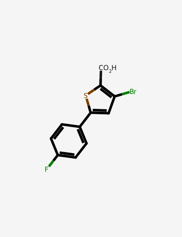 O=C(O)c1sc(-c2ccc(F)cc2)cc1Br